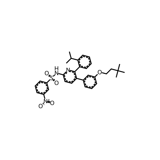 CC(C)c1ccccc1-c1nc(NS(=O)(=O)c2cccc([N+](=O)[O-])c2)ccc1-c1cccc(OCCC(C)(C)C)c1